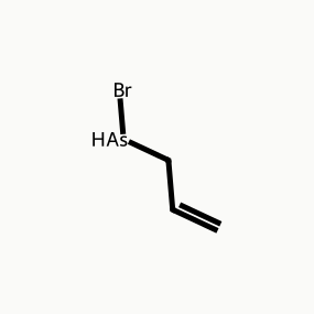 C=CC[AsH]Br